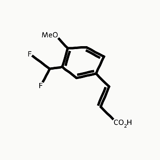 COc1ccc(C=CC(=O)O)cc1C(F)F